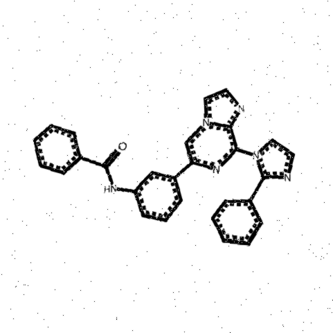 O=C(Nc1cccc(-c2cn3ccnc3c(-n3ccnc3-c3ccccc3)n2)c1)c1ccccc1